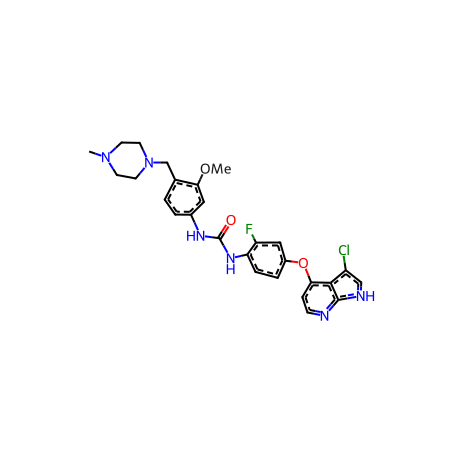 COc1cc(NC(=O)Nc2ccc(Oc3ccnc4[nH]cc(Cl)c34)cc2F)ccc1CN1CCN(C)CC1